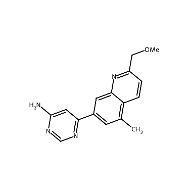 COCc1ccc2c(C)cc(-c3cc(N)ncn3)cc2n1